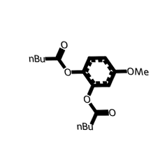 CCCCC(=O)Oc1ccc(OC)cc1OC(=O)CCCC